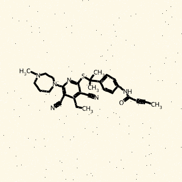 CC#CC(=O)Nc1ccc(C(C)(C)Sc2nc(N3CCCN(C)CC3)c(C#N)c(CC)c2C#N)cc1